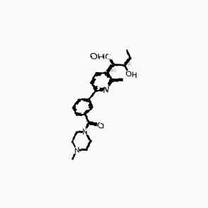 C=c1nc(-c2cccc(C(=O)N3CCN(C)CC3)c2)cc/c1=C(C=O)/C(O)=C\C